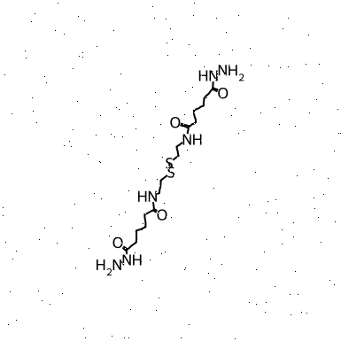 NNC(=O)CCCCC(=O)NCCSSCCNC(=O)CCCCC(=O)NN